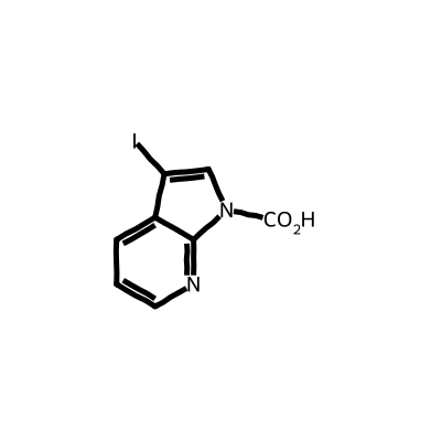 O=C(O)n1cc(I)c2cccnc21